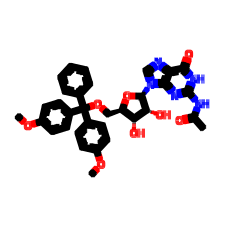 COc1ccc(C(OC[C@H]2O[C@@H](n3cnc4c(=O)[nH]c(NC(C)=O)nc43)[C@H](O)[C@@H]2O)(c2ccccc2)c2ccc(OC)cc2)cc1